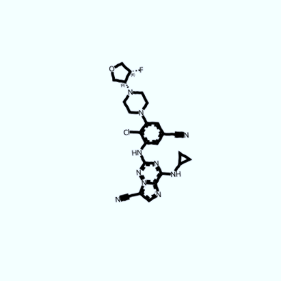 N#Cc1cc(Nc2nc(NC3CC3)c3ncc(C#N)n3n2)c(Cl)c(N2CCN([C@@H]3COC[C@@H]3F)CC2)c1